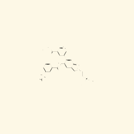 COC(=O)c1cncc(-c2cc3nn(CCC(C)(C)O)cc3cc2NC(=O)c2cccc(S(N)(=O)=O)c2)c1